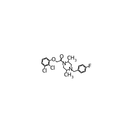 CC1CN(C(=O)COc2cccc(Cl)c2Cl)C(C)CN1Cc1ccc(F)cc1